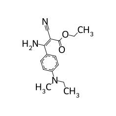 CCOC(=O)C(C#N)=C(N)c1ccc(N(C)CC)cc1